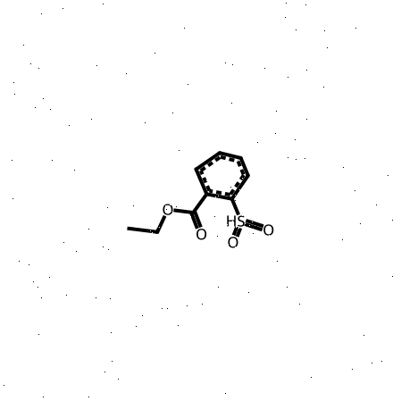 CCOC(=O)c1ccccc1[SH](=O)=O